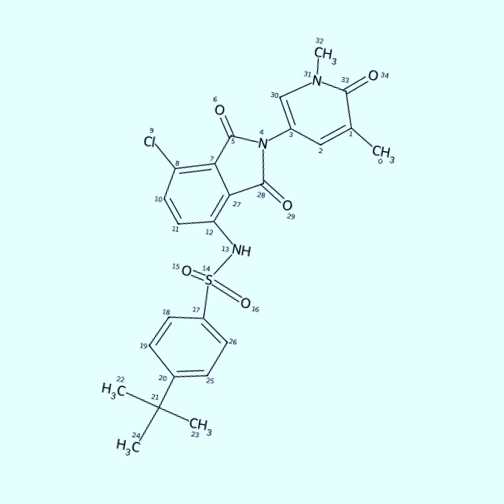 Cc1cc(N2C(=O)c3c(Cl)ccc(NS(=O)(=O)c4ccc(C(C)(C)C)cc4)c3C2=O)cn(C)c1=O